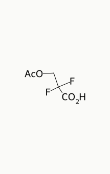 CC(=O)OCC(F)(F)C(=O)O